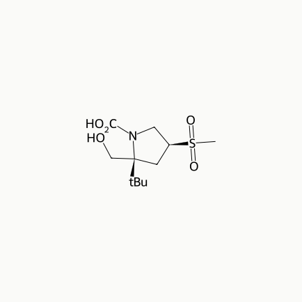 CC(C)(C)[C@]1(CO)C[C@H](S(C)(=O)=O)CN1C(=O)O